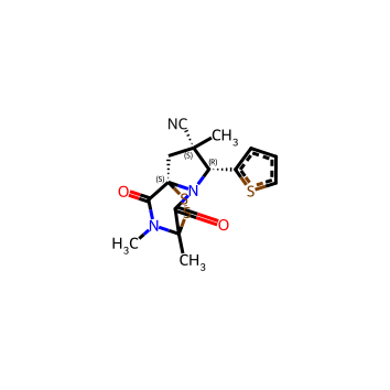 CN1C(=O)[C@@]23C[C@](C)(C#N)[C@H](c4cccs4)N2C(=O)C1(C)SS3